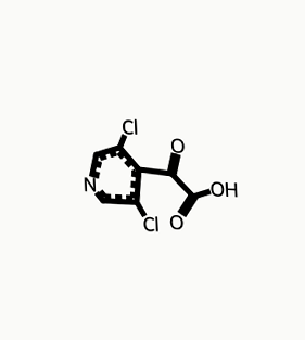 O=C(O)C(=O)c1c(Cl)cncc1Cl